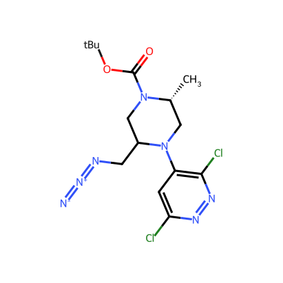 C[C@@H]1CN(c2cc(Cl)nnc2Cl)C(CN=[N+]=[N-])CN1C(=O)OC(C)(C)C